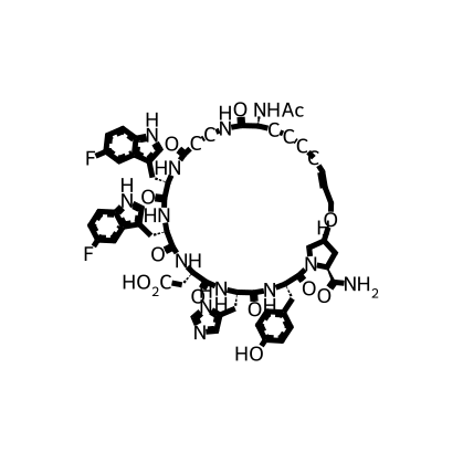 CC(=O)N[C@@H]1CCCC/C=C/CO[C@H]2C[C@@H](C(N)=O)N(C2)C(=O)[C@H](Cc2ccc(O)cc2)NC(=O)[C@H](Cc2cnc[nH]2)NC(=O)[C@H](CC(=O)O)NC(=O)[C@H](Cc2c[nH]c3ccc(F)cc23)NC(=O)[C@H](Cc2c[nH]c3ccc(F)cc23)NC(=O)CCNC1=O